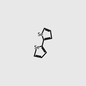 c1c[se]c(-c2ccc[se]2)c1